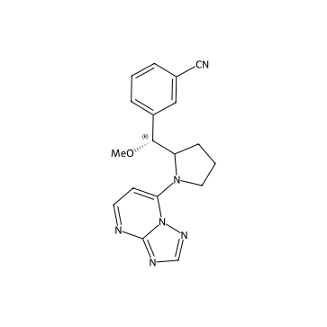 CO[C@H](c1cccc(C#N)c1)C1CCCN1c1ccnc2ncnn12